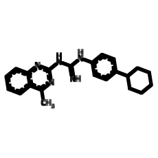 Cc1nc(NC(=N)Nc2ccc(C3CCCCC3)cc2)nc2ccccc12